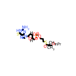 CCCOCC(C)(C)C(=O)SCCCO[P@]1(=O)OC[C@H]2O[C@@H](n3cnc4c(=S)[nH]c(N)nc43)C[C@@H]2O1